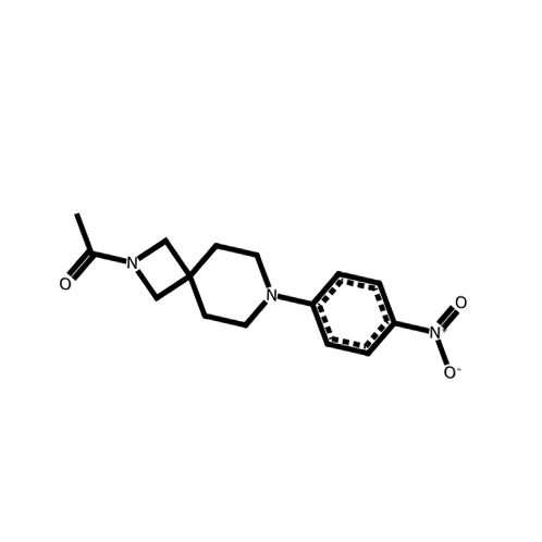 CC(=O)N1CC2(CCN(c3ccc([N+](=O)[O-])cc3)CC2)C1